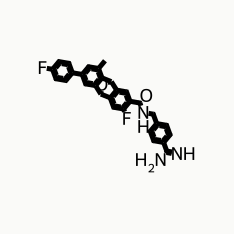 Cc1cc(-c2ccc(F)cc2)cc2c1C1OC2c2cc(F)c(C(=O)NCc3ccc(C(=N)N)cc3)cc21